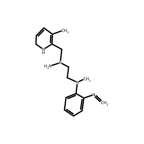 C=Nc1ccccc1N(C)CCN(N)CC1=C(C)C=CCN1